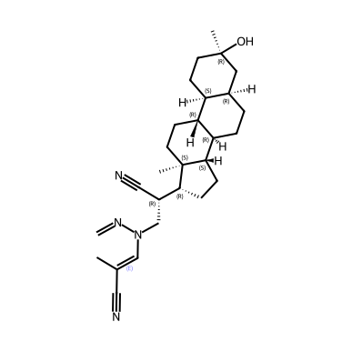 C=NN(/C=C(\C)C#N)C[C@H](C#N)[C@H]1CC[C@H]2[C@@H]3CC[C@@H]4C[C@](C)(O)CC[C@@H]4[C@H]3CC[C@]12C